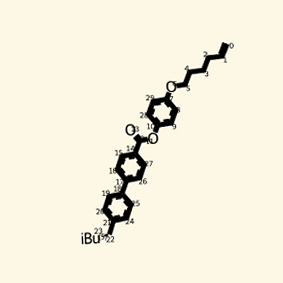 C=CCCCCOc1ccc(OC(=O)c2ccc(-c3ccc(C[C@@H](C)CC)cc3)cc2)cc1